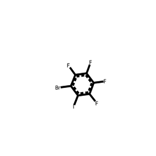 Fc1c(F)c(F)c(I)c(Br)c1F